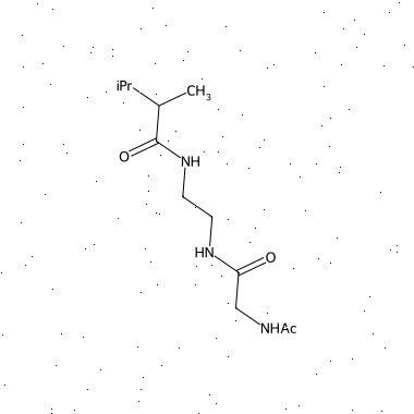 CC(=O)NCC(=O)NCCNC(=O)C(C)C(C)C